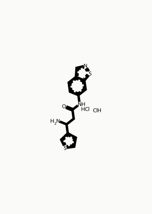 Cl.Cl.NC(CC(=O)Nc1ccc2cnsc2c1)c1ccsc1